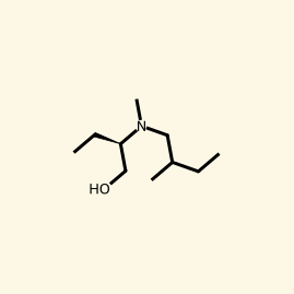 CCC(C)CN(C)[C@H](CC)CO